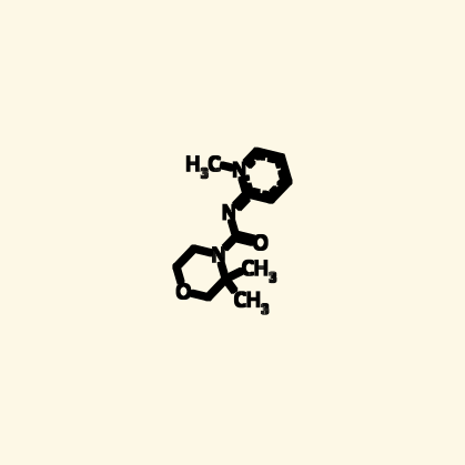 Cn1cccc/c1=N\C(=O)N1CCOCC1(C)C